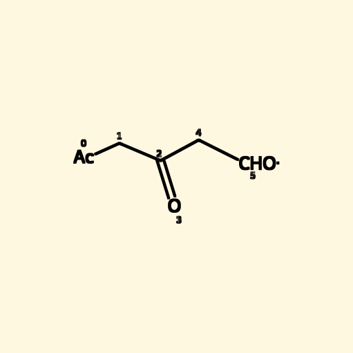 CC(=O)CC(=O)C[C]=O